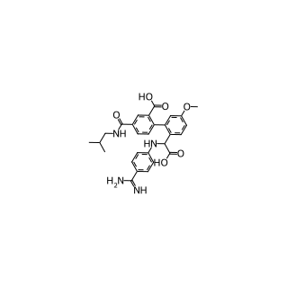 COc1ccc(C(Nc2ccc(C(=N)N)cc2)C(=O)O)c(-c2ccc(C(=O)NCC(C)C)cc2C(=O)O)c1